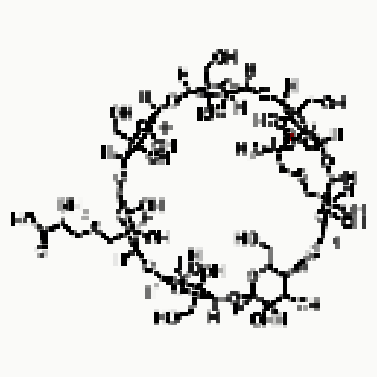 C[C@H](CSCC1O[C@@H]2O[C@@H]3C(CO)O[C@@H](O[C@@H]4C(CO)O[C@@H](O[C@@H]5C(CSC[C@@H](N)C(=O)O)OC(O[C@@H]6C(CO)O[C@H](O[C@@H]7C(CO)O[C@H](O[C@@H]8C(CO)O[C@H](O[C@@H]1[C@H](O)C2O)C(O)[C@H]8O)[C@@H](O)C7O)[C@@H](O)C6O)C(O)[C@H]5O)[C@@H](O)C4O)[C@@H](O)C3O)C(=O)O